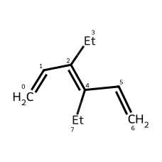 C=CC(CC)=C(C=C)CC